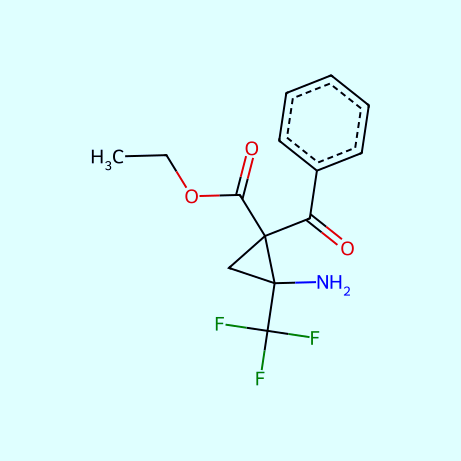 CCOC(=O)C1(C(=O)c2ccccc2)CC1(N)C(F)(F)F